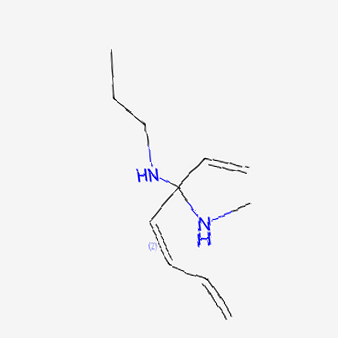 C=C/C=C\C(C=C)(NC)NCCC